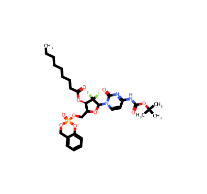 CCCCCCCCC(=O)O[C@@H]1C(COP2(=O)OCc3ccccc3O2)OC(n2ccc(NC(=O)OC(C)(C)C)nc2=O)C1(F)F